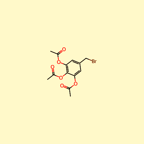 CC(=O)Oc1cc(CBr)cc(OC(C)=O)c1OC(C)=O